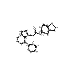 O=C(Cn1cnc2cccc(-c3ccccn3)c21)Nc1ccc2c(c1)CCC2